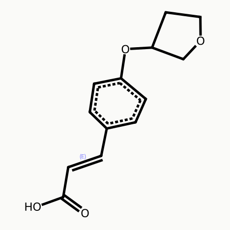 O=C(O)/C=C/c1ccc(OC2CCOC2)cc1